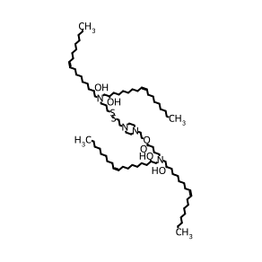 CCCCCCCC/C=C\CCCCCCC(O)CN(CCCSSCCN1CCN(CCOC(=O)CCCN(CC(O)CCCCCC/C=C\CCCCCCCC)CC(O)CCCCCC/C=C\CCCCCCCC)CC1)CC(O)CCCCCC/C=C\CCCCCCCC